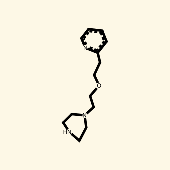 c1ccc(CCOCCN2CCNCC2)nc1